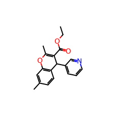 CCOC(=O)C1=C(C)Oc2cc(C)ccc2C1c1cccnc1